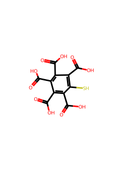 O=C(O)c1c(S)c(C(=O)O)c(C(=O)O)c(C(=O)O)c1C(=O)O